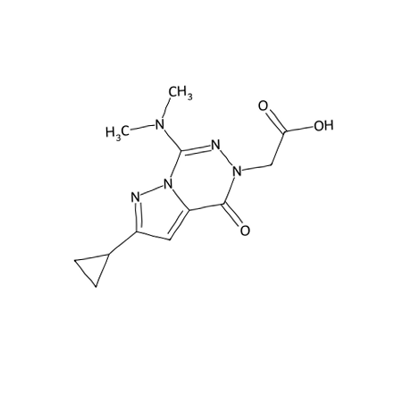 CN(C)c1nn(CC(=O)O)c(=O)c2cc(C3CC3)nn12